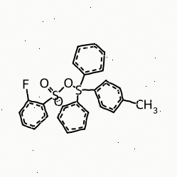 Cc1ccc(S(OS(=O)(=O)c2ccccc2F)(c2ccccc2)c2ccccc2)cc1